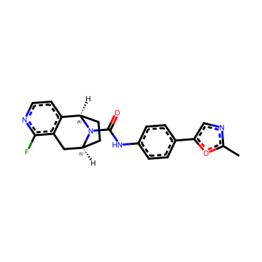 Cc1ncc(-c2ccc(NC(=O)N3[C@H]4CC[C@@H]3c3ccnc(F)c3C4)cc2)o1